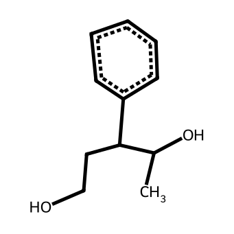 CC(O)C(CCO)c1ccccc1